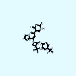 O=c1[nH]cc(-c2cc(N3CC(C(F)(F)F)C3Oc3ccc(C(F)(F)F)cn3)c3nccn3n2)c(=O)[nH]1